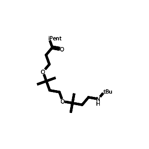 CCCC(C)C(=O)CCOC(C)(C)CCOC(C)(C)CCNC(C)(C)C